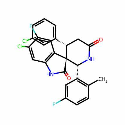 Cc1ccc(F)cc1[C@H]1NC(=O)C[C@@H](c2cccc(Cl)c2)[C@]12C(=O)Nc1cc(Cl)c(F)cc12